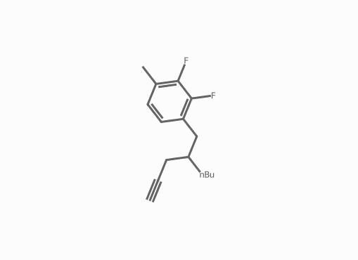 C#CCC(CCCC)Cc1ccc(C)c(F)c1F